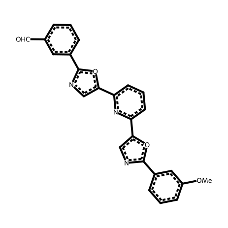 COc1cccc(-c2ncc(-c3cccc(-c4cnc(-c5cccc(C=O)c5)o4)n3)o2)c1